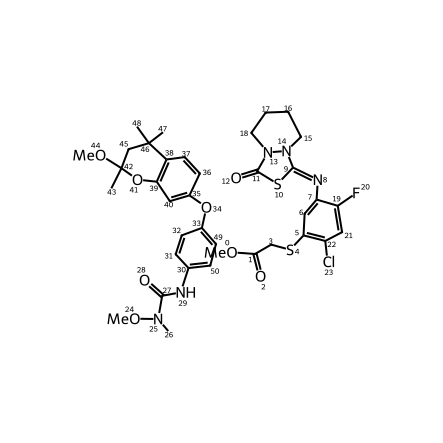 COC(=O)CSc1cc(/N=c2\sc(=O)n3n2CCCC3)c(F)cc1Cl.CON(C)C(=O)Nc1ccc(Oc2ccc3c(c2)OC(C)(OC)CC3(C)C)cc1